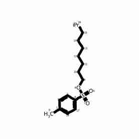 Cc1ccc(S(=O)(=O)OCCCCCCCC(C)C)cc1